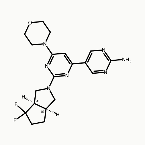 Nc1ncc(-c2cc(N3CCOCC3)nc(N3C[C@H]4CCC(F)(F)[C@H]4C3)n2)cn1